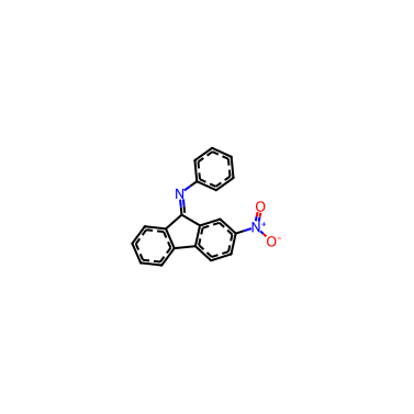 O=[N+]([O-])c1ccc2c(c1)C(=Nc1ccccc1)c1ccccc1-2